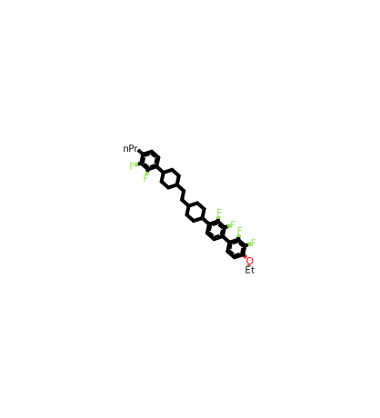 CCCc1ccc(C2CCC(CCC3CCC(c4ccc(-c5ccc(OCC)c(F)c5F)c(F)c4F)CC3)CC2)c(F)c1F